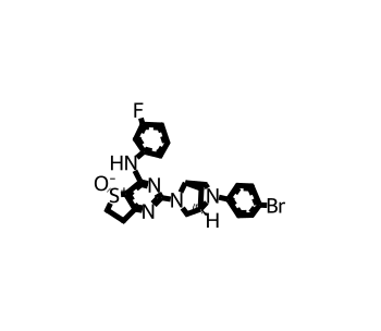 [O-][S+]1CCc2nc(N3C[C@H]4CC3CN4c3ccc(Br)cc3)nc(Nc3cccc(F)c3)c21